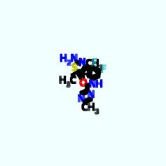 CC[C@]12C[C@H]1[C@@](C)(c1cc(NC(=O)c3cnc(C)cn3)cc(F)c1F)N=C(N)S2